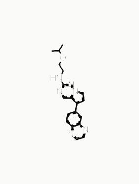 CC(C)OCCNc1ncc2c(-c3ccc4nccnc4c3)ccn2n1